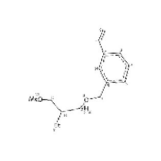 C=Cc1cccc(CO[SiH2]C(CC)COC)c1